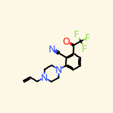 C=CCN1CCN(c2cccc(C(=O)C(F)(F)F)c2C#N)CC1